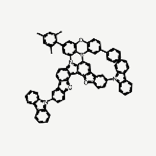 Cc1cc(C)c(-c2cc3c4c(c2)-n2c5ccc6c7cc(-n8c9ccccc9c9ccccc98)ccc7oc6c5c5c6oc7ccc(-n8c9ccccc9c9ccccc98)cc7c6cc(c52)B4c2cc(-c4ccccc4)ccc2O3)c(C)c1